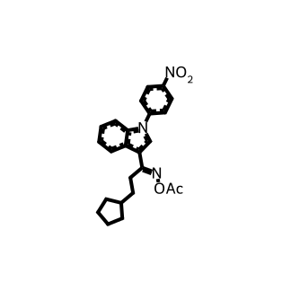 CC(=O)O/N=C(\CCC1CCCC1)c1cn(-c2ccc([N+](=O)[O-])cc2)c2ccccc12